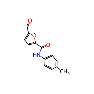 Cc1ccc(NC(=O)c2ccc(C=O)o2)cc1